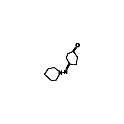 O=C1CCC(=NN2CCCCC2)CC1